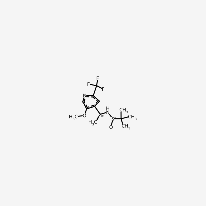 COc1cnc(C(F)(F)F)cc1[C@H](C)N[S+]([O-])C(C)(C)C